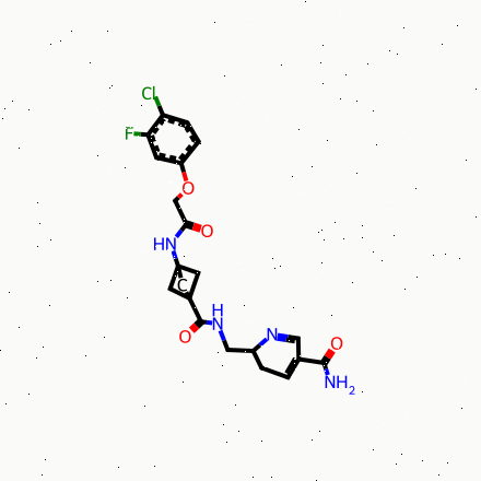 NC(=O)C1=CCC(CNC(=O)C23CC(NC(=O)COc4ccc(Cl)c(F)c4)(C2)C3)N=C1